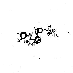 NS(=O)(=O)NCCC1CCC(Nc2nonc2C(=Nc2ccc(F)c(Br)c2)NO)C1